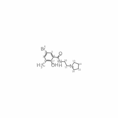 Cc1cc(Br)cc(C(=O)NCCN2CCCC2)c1O